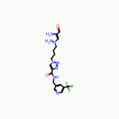 N/C(C=O)=C\N(N)CCCCn1cc(C(=O)NCc2cncc(C(F)(F)F)c2)nn1